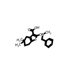 CN(Cc1ccccc1)Cc1sc2c(c1C(=O)O)CC(C)(C)CC2